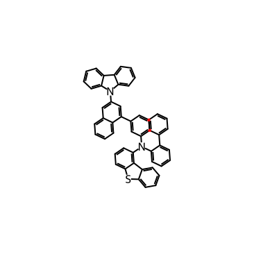 c1ccc(-c2ccccc2N(c2cccc(-c3cc(-n4c5ccccc5c5ccccc54)cc4ccccc34)c2)c2cccc3sc4ccccc4c23)cc1